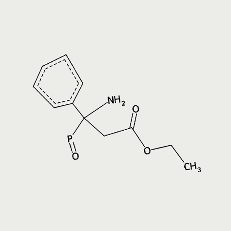 CCOC(=O)CC(N)(P=O)c1ccccc1